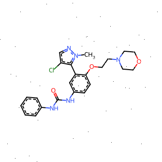 Cn1ncc(Cl)c1-c1cc(NC(=O)Nc2ccccc2)ccc1OCCN1CCOCC1